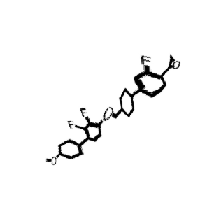 COC1CCC(c2ccc(OCC3CCC(c4ccc(C5CO5)c(F)c4)CC3)c(F)c2F)CC1